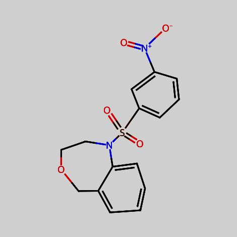 O=[N+]([O-])c1cccc(S(=O)(=O)N2CCOCc3ccccc32)c1